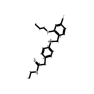 CCCOc1cc(I)ccc1CNc1ccc(CC(=O)OCC)cc1